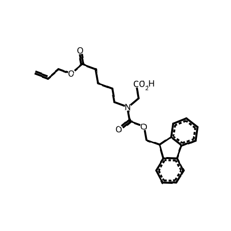 C=CCOC(=O)CCCCN(CC(=O)O)C(=O)OCC1c2ccccc2-c2ccccc21